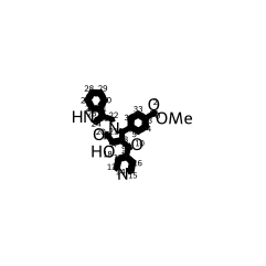 COC(=O)c1ccc(C2C(C(=O)c3ccncc3)=C(O)C(=O)N2Cc2c[nH]c3ccccc23)cc1